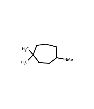 CNC1CCCC(C)(C)CC1